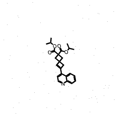 CC(C)OC(=O)C1(C(=O)OC(C)C)CC2(C=C(c3ccnc4ccccc34)C2)C1